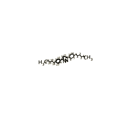 CCCCCC[C@H]1CC[C@H](c2ccc(-c3ccc(CCCCC)cc3)nn2)CC1